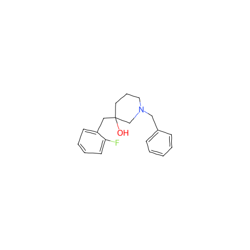 OC1(Cc2ccccc2F)CCCN(Cc2ccccc2)C1